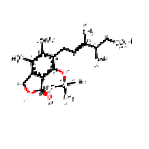 COc1c(C)c2c(c(O[Si](C)(C)C(C)(C)C)c1C/C=C(\C)C(CC(=O)O)OC)C(=O)OC2